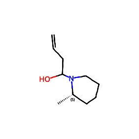 C=CCC(O)N1CCCC[C@@H]1C